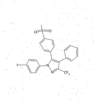 CS(=O)(=O)c1ccc(-c2c(-c3ccccc3)c(C(F)(F)F)nn2-c2ccc(I)cc2)cc1